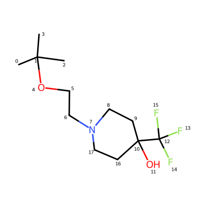 CC(C)(C)OCCN1CCC(O)(C(F)(F)F)CC1